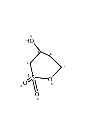 O=S1(=O)CC(O)CCO1